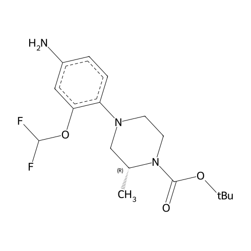 C[C@@H]1CN(c2ccc(N)cc2OC(F)F)CCN1C(=O)OC(C)(C)C